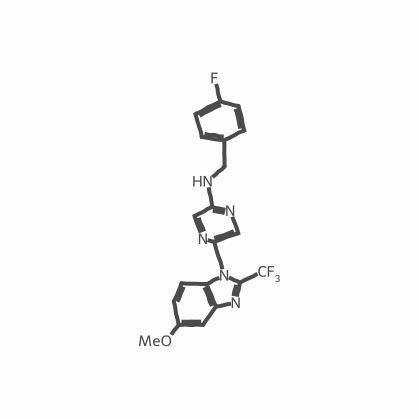 COc1ccc2c(c1)nc(C(F)(F)F)n2-c1cnc(NCc2ccc(F)cc2)cn1